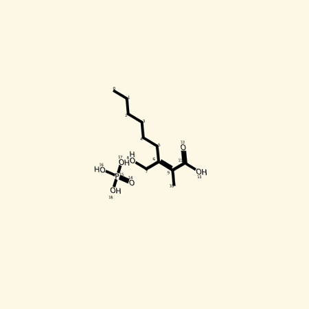 CCCCCC/C(CO)=C(/C)C(=O)O.O=P(O)(O)O